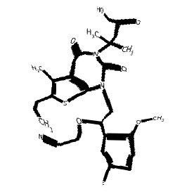 CCc1sc2c(c1C)c(=O)n(C(C)(C)C(=O)O)c(=O)n2C[C@H](OCC#N)c1cc(F)ccc1OC